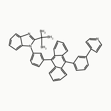 BC(B)(B)c1nc2ccccc2n1-c1cccc(-c2c3ccccc3c(-c3cccc(-c4ccncc4)c3)c3ccccc23)c1